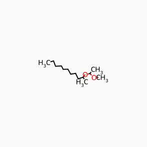 CCCCCCCCCC(C)OC(C)OC